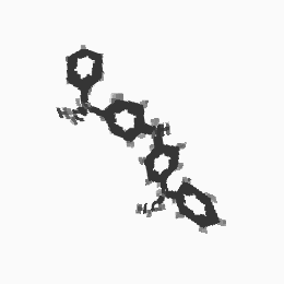 CN(c1ccccc1)c1ccc(Nc2ccc(N(C)c3ccccc3)cc2)cc1